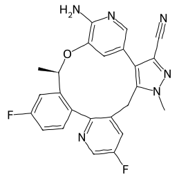 C[C@H]1Oc2cc(cnc2N)-c2c(C#N)nn(C)c2Cc2cc(F)cnc2-c2ccc(F)cc21